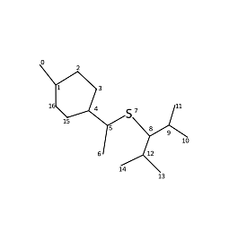 CC1CCC(C(C)SC(C(C)C)C(C)C)CC1